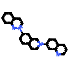 c1cnc2cc(-[n+]3ccc4ccc(-[n+]5ccc6ccccc6n5)cc4c3)ccc2c1